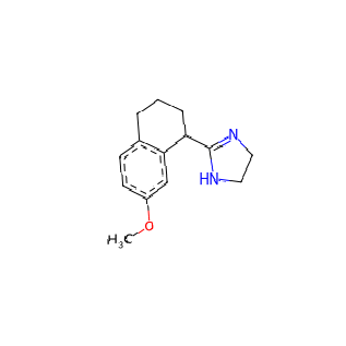 COc1ccc2c(c1)C(C1=NCCN1)CCC2